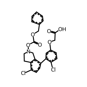 O=C(O)COc1ccc(Cl)c(-c2ccc(Cl)c3c2CN(OC(=O)OCc2ccccc2)CC3)c1